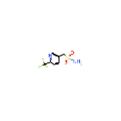 NS(=O)(=O)Cc1ccc(C(F)(F)F)nc1